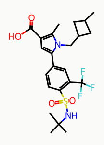 Cc1c(C(=O)O)cc(-c2ccc(S(=O)(=O)NC(C)(C)C)c(C(F)(F)F)c2)n1CC1CC(C)C1